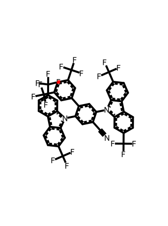 N#Cc1cc(-n2c3cc(C(F)(F)F)ccc3c3ccc(C(F)(F)F)cc32)c(-c2cc(C(F)(F)F)cc(C(F)(F)F)c2)cc1-n1c2cc(C(F)(F)F)ccc2c2ccc(C(F)(F)F)cc21